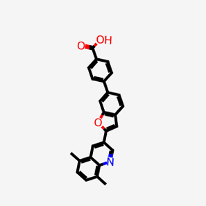 Cc1ccc(C)c2ncc(-c3cc4ccc(-c5ccc(C(=O)O)cc5)cc4o3)cc12